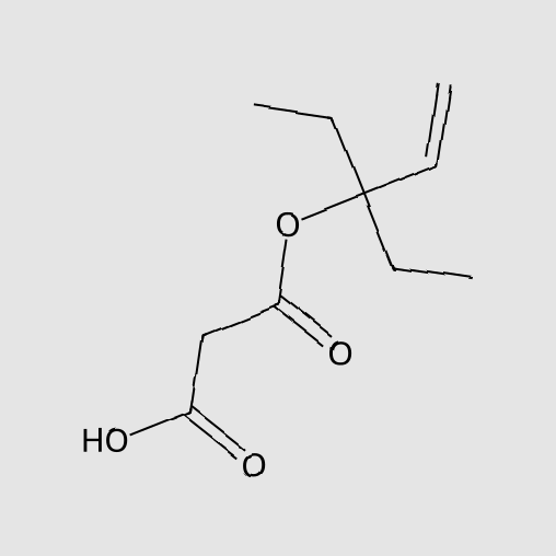 C=CC(CC)(CC)OC(=O)CC(=O)O